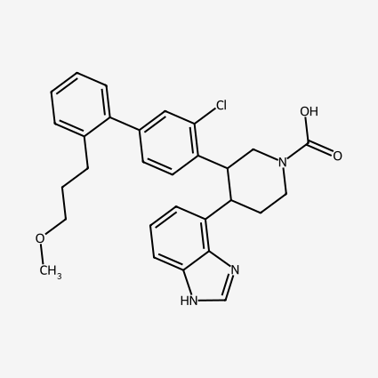 COCCCc1ccccc1-c1ccc(C2CN(C(=O)O)CCC2c2cccc3[nH]cnc23)c(Cl)c1